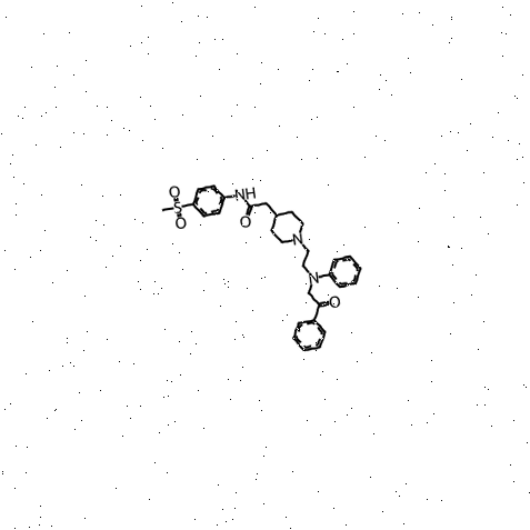 CS(=O)(=O)c1ccc(NC(=O)CC2CCN(CCN(CC(=O)c3ccccc3)c3ccccc3)CC2)cc1